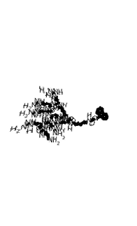 N=C(N)NCCC[C@@H](NC(=O)CCCCCNC(=O)OCC1c2ccccc2-c2ccccc21)C(=O)NCCCCCC(=O)N[C@H](CCCNC(=N)N)C(=O)N[C@H](CCCNC(=N)N)C(=O)N[C@H](CCCNC(=N)N)C(=O)N[C@H](CCCNC(=N)N)C(=O)N[C@H](CCCNC(=N)N)C(=O)N[C@H](CCCNC(=N)N)C(=O)N[C@H](CCCCN)C(N)=O